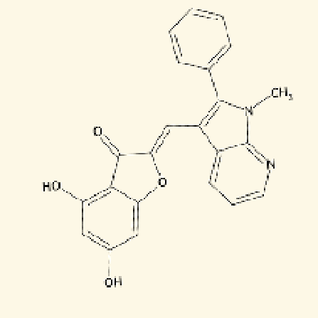 Cn1c(-c2ccccc2)c(C=C2Oc3cc(O)cc(O)c3C2=O)c2cccnc21